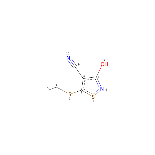 CCSc1snc(O)c1C#N